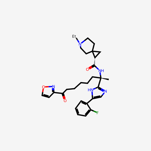 CCN1CCC2(CC1)C[C@@H]2C(=O)N[C@@](C)(CCCCCC(=O)c1ccon1)c1ncc(-c2ccccc2F)[nH]1